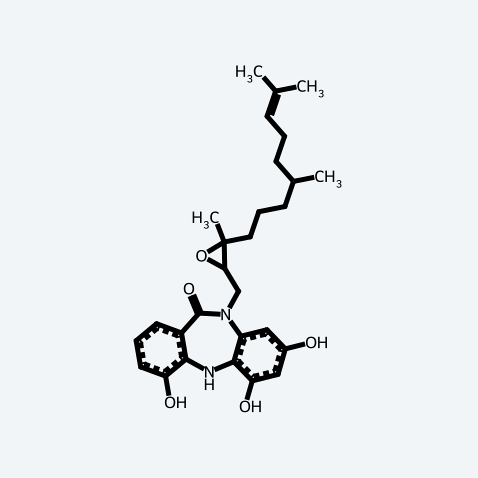 CC(C)=CCCC(C)CCCC1(C)OC1CN1C(=O)c2cccc(O)c2Nc2c(O)cc(O)cc21